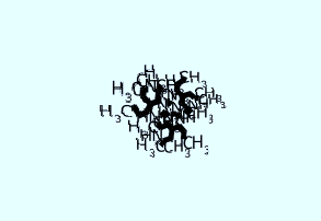 CCCC(Nc1nc(NC(CCC)C2CC(C)(C)NC(C)(C)C2)nc(NC(CCC)C2CC(C)(C)NC(C)(C)C2)n1)C1CC(C)(C)NC(C)(C)C1